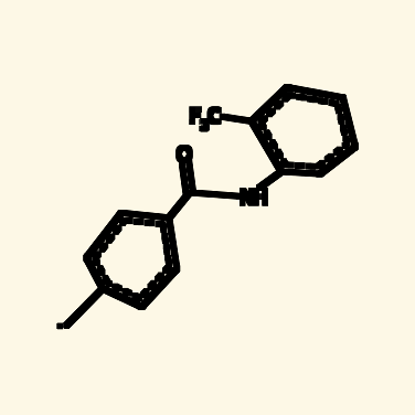 [CH2]c1ccc(C(=O)Nc2ccccc2C(F)(F)F)cc1